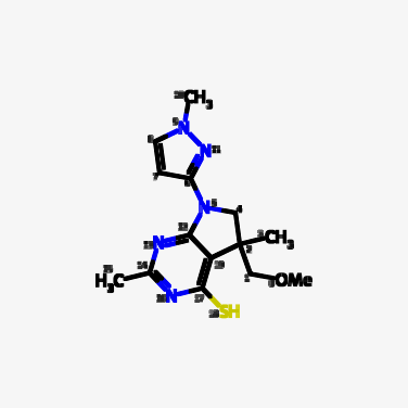 COCC1(C)CN(c2ccn(C)n2)c2nc(C)nc(S)c21